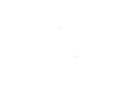 Oc1ccccc1C1CCCC(O)C1